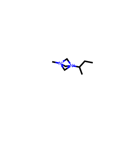 CCC(C)[N+]12C[N+](C)(C1)C2